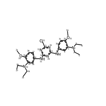 CCN(CC)c1cc(Nc2nc(Cl)nc(Nc3ccc(OC)c(N(CC)CC)c3)n2)ccc1OC